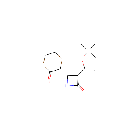 C[C@@H](O[Si](C)(C)C)[C@H]1C(=O)N[C@@H]1C1SCCSC1=O